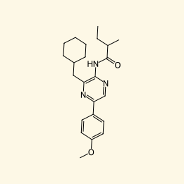 CCC(C)C(=O)Nc1ncc(-c2ccc(OC)cc2)nc1CC1CCCCC1